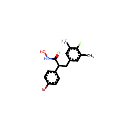 Cc1cc(CC(C(=O)NO)c2ccc(Br)cc2)cc(C)c1F